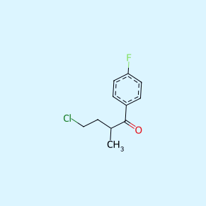 CC(CCCl)C(=O)c1ccc(F)cc1